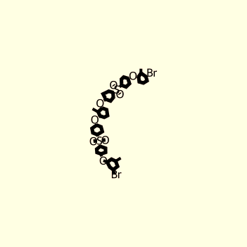 Cc1cc(Br)cc(Oc2ccc(S(=O)(=O)c3ccc(Oc4cccc(Oc5ccc(S(=O)(=O)c6ccc(Oc7cccc(Br)c7C)cc6)cc5)c4C)cc3)cc2)c1